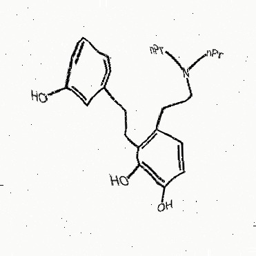 CCCN(CCC)CCc1ccc(O)c(O)c1CCc1cccc(O)c1